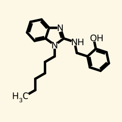 CCCCCCn1c(NCc2ccccc2O)nc2ccccc21